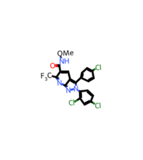 CONC(=O)c1cc2c(-c3ccc(Cl)cc3)n(-c3ccc(Cl)cc3Cl)nc2nc1C(F)(F)F